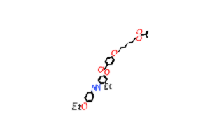 C=C(C)C(=O)OCCCCCCOc1ccc(C(=O)Oc2ccc(N=Nc3ccc(OCC)cc3)c(CC)c2)cc1